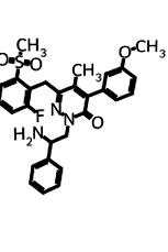 COc1cccc(-c2c(C)c(Cc3c(F)cccc3S(C)(=O)=O)nn(CC(N)c3ccccc3)c2=O)c1